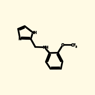 FC(F)(F)Oc1ccccc1NCc1ncc[nH]1